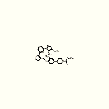 CCOC(=O)c1cnn(-c2cccc(C3=C(COc4ccc(C5CCN(C(=O)OC(C)(C)C)CC5)cc4C)CCC3)n2)c1C(F)(F)F